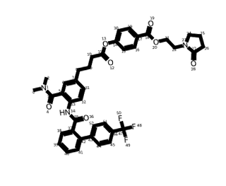 CN(C)C(=O)c1cc(CCCC(=O)Oc2ccc(C(=O)OCCN3CCCC3=O)cc2)ccc1NC(=O)c1ccccc1-c1ccc(C(F)(F)F)cc1